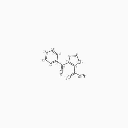 CC(C)C(=O)c1occc1C(=O)c1ccccc1